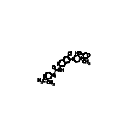 CC1(C)C[C@]2(CCO1)C[C@H]2C(=O)Nc1cc2cc(N3CCN([C@]4(C)COC[C@@H]4O)CC3)c(Cl)cc2cn1